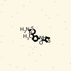 CC1(c2cccc(NC(=O)c3ccsc3)c2)CCSC(N)=N1